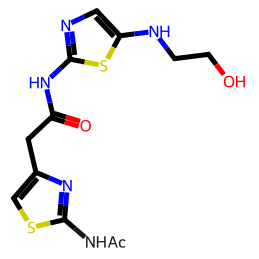 CC(=O)Nc1nc(CC(=O)Nc2ncc(NCCO)s2)cs1